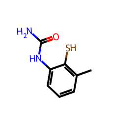 Cc1cccc(NC(N)=O)c1S